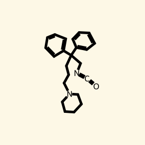 O=C=NCC(CCCN1CCCCC1)(c1ccccc1)c1ccccc1